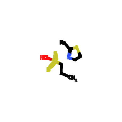 CCCS(O)(=S)=S.[Na][C]1=NCCS1